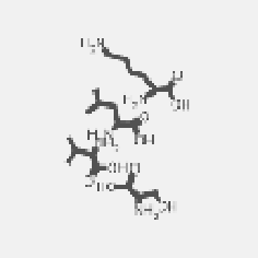 CC(C)C(N)C(=O)O.CC(C)CC(N)C(=O)O.NC(CO)C(=O)O.NCCCCC(N)C(=O)O